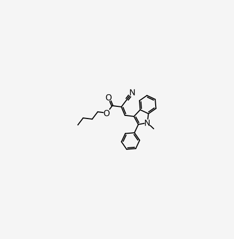 CCCCOC(=O)/C(C#N)=C/c1c(-c2ccccc2)n(C)c2ccccc12